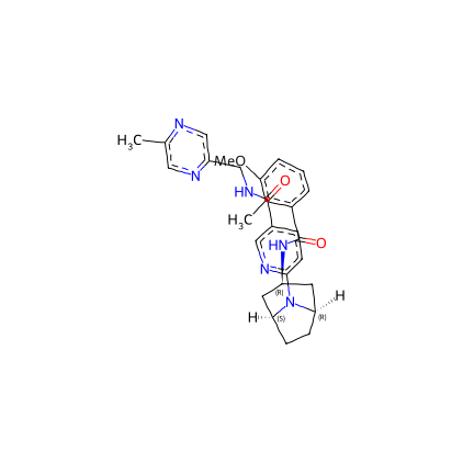 COc1cccc(C(=O)N[C@H]2C[C@H]3CC[C@@H](C2)N3c2ccc(C(=O)NCc3cnc(C)cn3)cn2)c1C